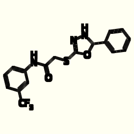 O=C(CSC1=NNC(c2ccccc2)O1)Nc1cccc(C(F)(F)F)c1